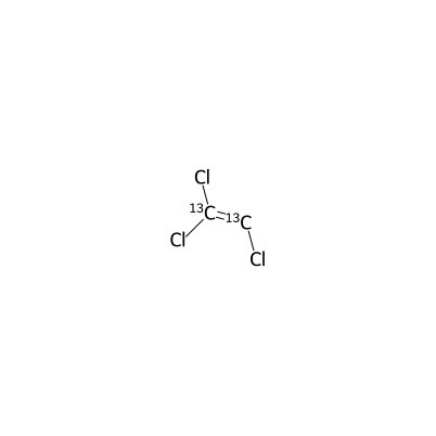 Cl[13CH]=[13C](Cl)Cl